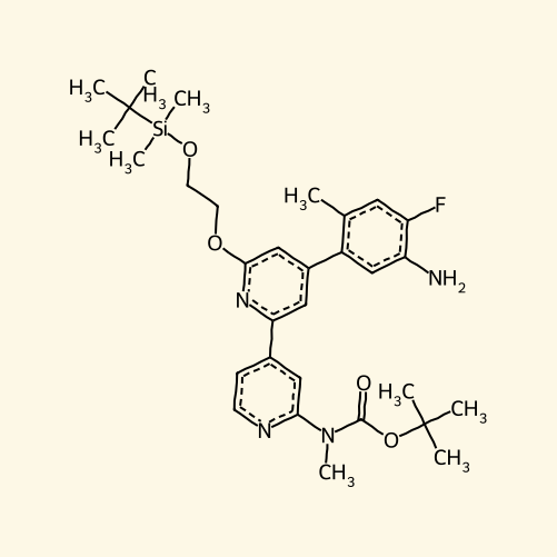 Cc1cc(F)c(N)cc1-c1cc(OCCO[Si](C)(C)C(C)(C)C)nc(-c2ccnc(N(C)C(=O)OC(C)(C)C)c2)c1